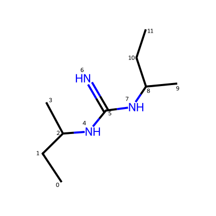 CCC(C)NC(=N)NC(C)CC